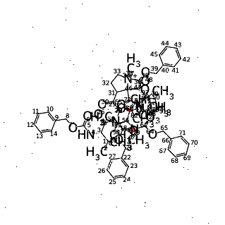 CC(C)[C@H](NC(=O)OCc1ccccc1)C(=O)N(C(=O)OCc1ccccc1)[C@H](C(=O)C1CC[N+](C)(C(=O)OCc2ccccc2)[C@]1(C(=O)[C@@H]1CCCN1C(=O)[C@H](C(C)C)N(C)C(=O)OCc1ccccc1)C(=O)N(C)C(C)(C)C)C(C)C